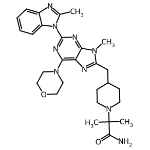 Cc1nc2ccccc2n1-c1nc(N2CCOCC2)c2nc(CC3CCN(C(C)(C)C(N)=O)CC3)n(C)c2n1